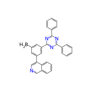 Bc1cc(-c2nc(-c3ccccc3)nc(-c3ccccc3)n2)cc(-c2cncc3ccccc23)c1